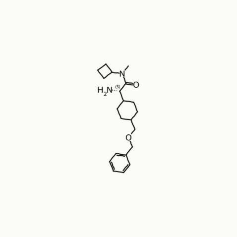 CN(C(=O)[C@@H](N)C1CCC(COCc2ccccc2)CC1)C1CCC1